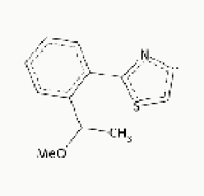 COC(C)c1ccccc1-c1n[c]cs1